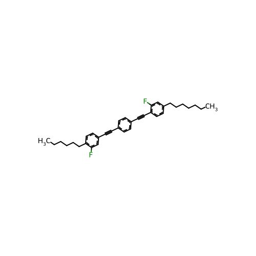 CCCCCCCc1ccc(C#Cc2ccc(C#Cc3ccc(CCCCCC)c(F)c3)cc2)c(F)c1